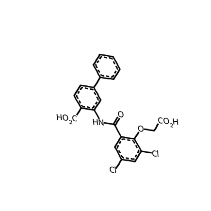 O=C(O)COc1c(Cl)cc(Cl)cc1C(=O)Nc1cc(-c2ccccc2)ccc1C(=O)O